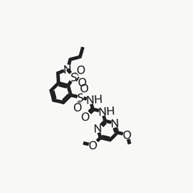 CCCN1Cc2cccc(S(=O)(=O)NC(=O)Nc3nc(OC)cc(OC)n3)c2S1(=O)=O